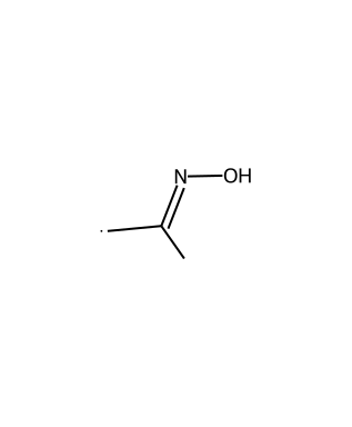 [CH2]/C(C)=N/O